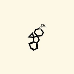 CN1CCC2(CC1)Cc1ccccc1C21CC1